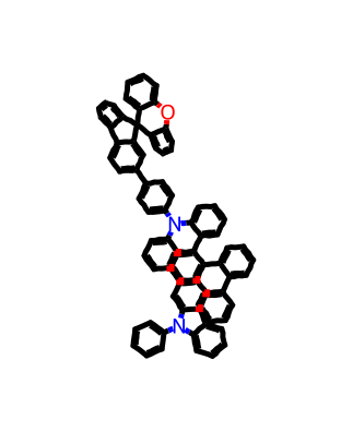 c1ccc(-c2ccccc2-c2ccccc2-c2ccccc2N(c2ccc(-c3ccc4c(c3)C3(c5ccccc5Oc5ccccc53)c3ccccc3-4)cc2)c2cccc(-c3ccc4c5ccccc5n(-c5ccccc5)c4c3)c2)cc1